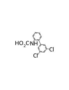 O=C(O)Nc1ccccc1-c1cc(Cl)cc(Cl)c1